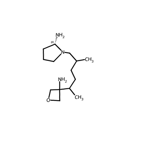 CC(CCC(C)C1(N)COC1)CN1CCC[C@@H]1N